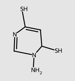 NN1C=NC(S)=CC1S